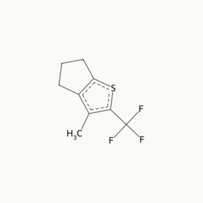 Cc1c(C(F)(F)F)sc2c1CCC2